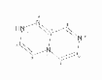 C1=CN2C=CNN=C2C=N1